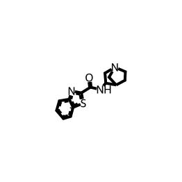 O=C(NC1CN2CCC1C2)c1nc2ccccc2s1